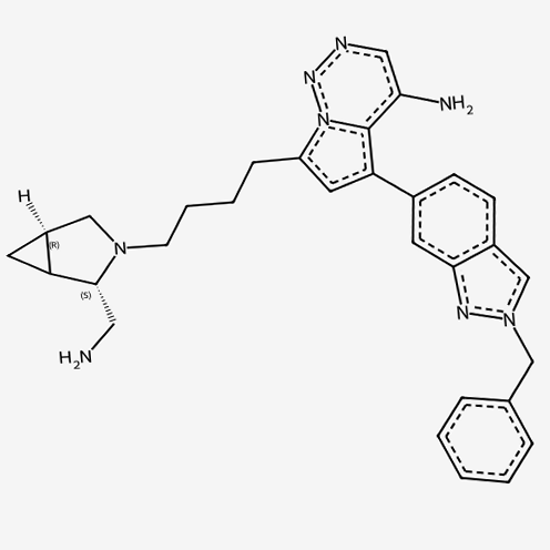 NC[C@@H]1C2C[C@H]2CN1CCCCc1cc(-c2ccc3cn(Cc4ccccc4)nc3c2)c2c(N)cnnn12